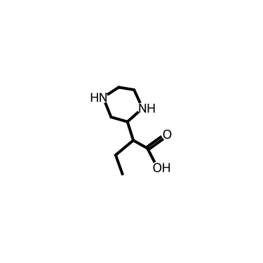 CCC(C(=O)O)C1CNCCN1